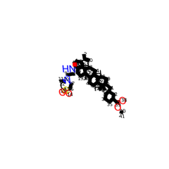 C=C(C)[C@@H]1CC[C@]2(NCCN3CCS(=O)(=O)CC3)CC[C@]3(C)[C@H](CC[C@@H]4[C@@]5(C)CC=C(CC6CCCC(C(=O)OCC)C6)C(C)(C)[C@@H]5CC[C@]43C)[C@@H]12